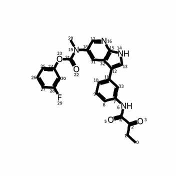 CCC(=O)C(=O)Nc1cccc(-c2c[nH]c3ncc(N(C)C(=O)Oc4cccc(F)c4)cc23)c1